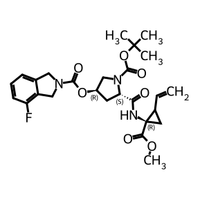 C=CC1C[C@]1(NC(=O)[C@@H]1C[C@@H](OC(=O)N2Cc3cccc(F)c3C2)CN1C(=O)OC(C)(C)C)C(=O)OC